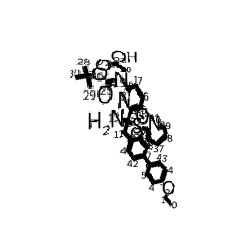 CCOc1ccc(-c2ccc(CC(N)(c3cccc(N(CC(=O)O)C(=O)OC(C)(C)C)n3)S(=O)(=O)c3ccccn3)cc2)cc1